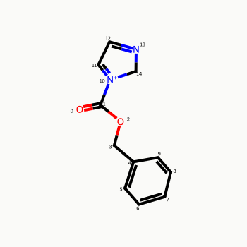 O=C(OCc1ccccc1)[N+]1=CC=NC1